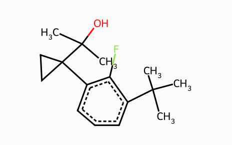 CC(C)(C)c1cccc(C2(C(C)(C)O)CC2)c1F